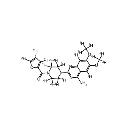 [2H]c1oc(C(=O)N2C([2H])([2H])C([2H])([2H])N(c3nc(N)c4c([2H])c(OC([2H])([2H])[2H])c(OC([2H])([2H])[2H])c([2H])c4n3)C([2H])([2H])C2([2H])[2H])c([2H])c1[2H]